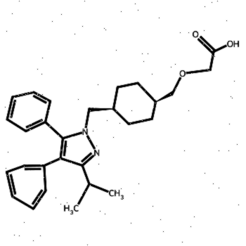 CC(C)c1nn(C[C@H]2CC[C@@H](COCC(=O)O)CC2)c(-c2ccccc2)c1-c1ccccc1